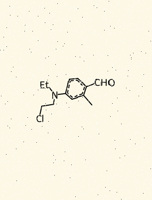 CCN(CCCl)c1ccc(C=O)c(C)c1